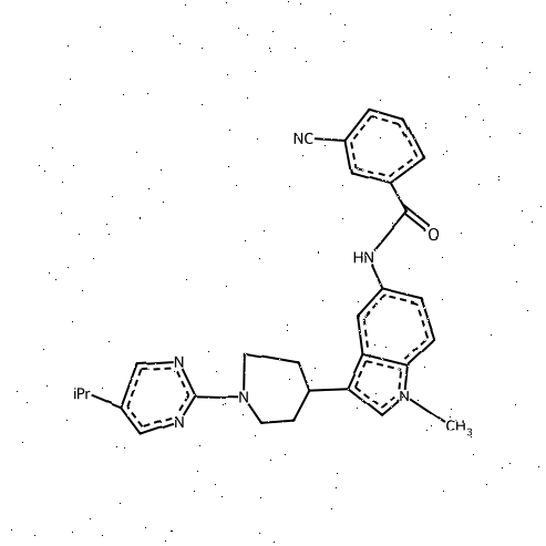 CC(C)c1cnc(N2CCC(c3cn(C)c4ccc(NC(=O)c5cccc(C#N)c5)cc34)CC2)nc1